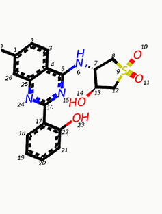 Cc1ccc2c(N[C@@H]3CS(=O)(=O)C[C@H]3O)nc(-c3ccccc3O)nc2c1